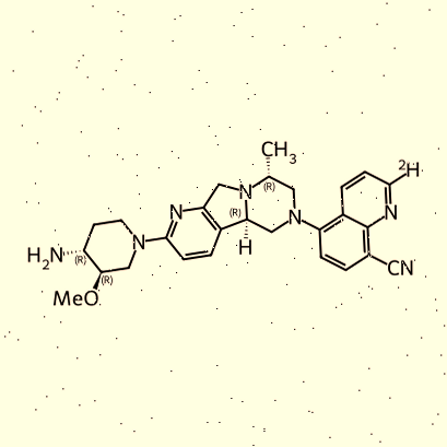 [2H]c1ccc2c(N3C[C@@H](C)N4Cc5nc(N6CC[C@@H](N)[C@H](OC)C6)ccc5[C@@H]4C3)ccc(C#N)c2n1